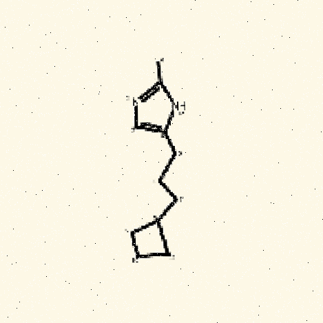 Cc1n[c]c(CCCC2CCC2)[nH]1